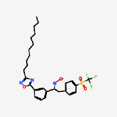 CCCCCCCCCCCc1noc(-c2cccc(C(Cc3ccc(S(=O)(=O)C(F)(F)F)cc3)[N][O])c2)n1